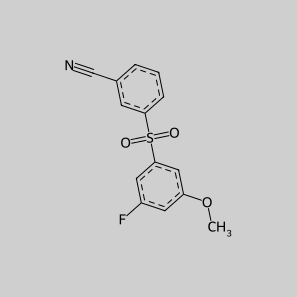 COc1cc(F)cc(S(=O)(=O)c2cccc(C#N)c2)c1